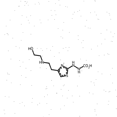 O=C(O)NNc1nc(CCNCCO)cs1